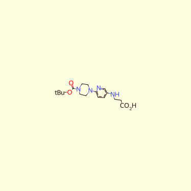 CC(C)(C)OC(=O)N1CCN(c2ccc(NCCC(=O)O)cn2)CC1